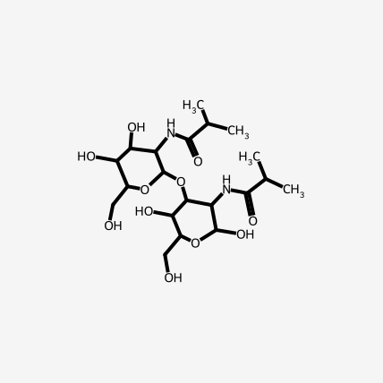 CC(C)C(=O)NC1C(OC2C(O)C(CO)OC(O)C2NC(=O)C(C)C)OC(CO)C(O)C1O